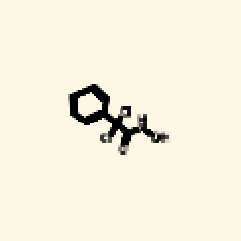 O=C(NO)C(Cl)(Cl)c1ccccc1